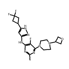 Cc1nc(Nc2cc(C3CC(F)(F)C3)[nH]n2)c(F)c(N2CCN(C3COC3)CC2)n1